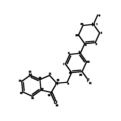 CN1CC=C(c2ccc(CN3Cc4ncccc4C3=O)c(F)c2)CC1